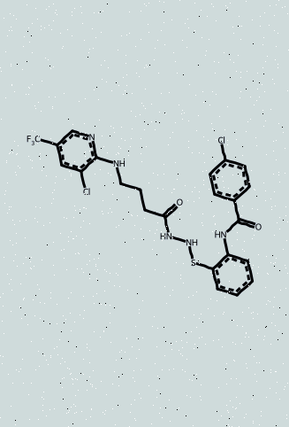 O=C(CCCNc1ncc(C(F)(F)F)cc1Cl)NNSc1ccccc1NC(=O)c1ccc(Cl)cc1